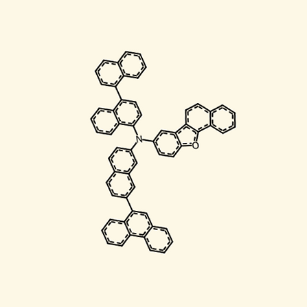 c1ccc2c(-c3ccc(N(c4ccc5ccc(-c6cc7ccccc7c7ccccc67)cc5c4)c4ccc5oc6c7ccccc7ccc6c5c4)c4ccccc34)cccc2c1